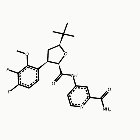 COc1c([C@H]2C[C@@H](C(C)(C)C)O[C@H]2C(=O)Nc2ccnc(C(N)=O)c2)ccc(F)c1F